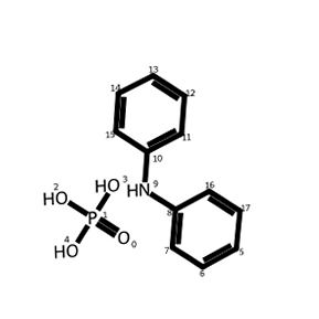 O=P(O)(O)O.c1ccc(Nc2ccccc2)cc1